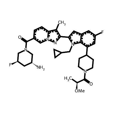 CO[C@@H](C)C(=O)N1CCC(c2cc(F)cc3cc(-c4nn5cc(C(=O)N6C[C@H](N)C[C@@H](F)C6)ccc5c4C)n(CC4CC4)c23)CC1